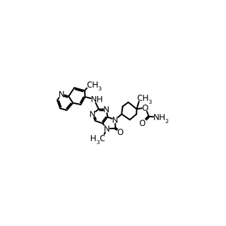 Cc1cc2ncccc2cc1Nc1ncc2c(n1)n(C1CCC(C)(OC(N)=O)CC1)c(=O)n2C